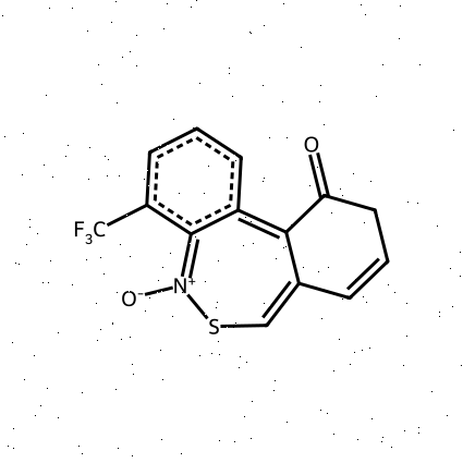 O=C1CC=CC2=CS[N+]([O-])=c3c(C(F)(F)F)cccc3=C12